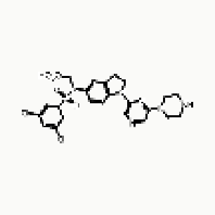 O=C(O)CN(c1ccc2c(c1)CCN2c1cncc(N2CCNCC2)n1)S(=O)(=O)C1C=C(Cl)C=C(Cl)C1